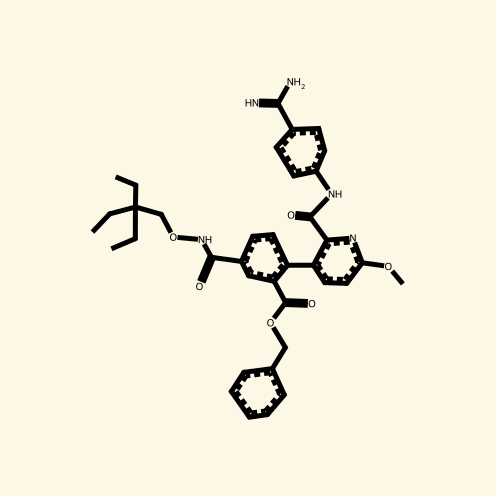 CCC(CC)(CC)CONC(=O)c1ccc(-c2ccc(OC)nc2C(=O)Nc2ccc(C(=N)N)cc2)c(C(=O)OCc2ccccc2)c1